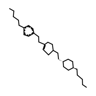 CCCCCc1ccc(CCC2=CCC(CC[C@H]3CC[C@H](CCCCC)CC3)CC2)cc1